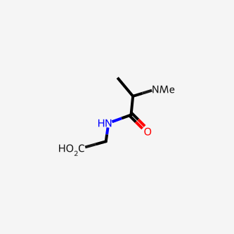 CNC(C)C(=O)NCC(=O)O